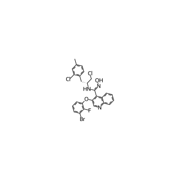 Cc1ccc(C[C@H](CCl)NC(=NO)c2c(Oc3cccc(Br)c3F)cnc3ccccc23)c(Cl)c1